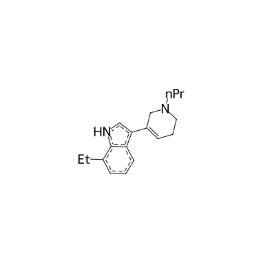 CCCN1CCC=C(c2c[nH]c3c(CC)cccc23)C1